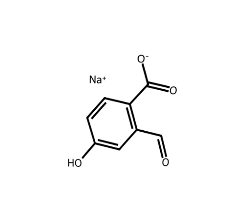 O=Cc1cc(O)ccc1C(=O)[O-].[Na+]